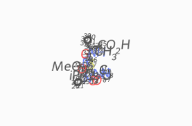 CCC(C)C(NC(=O)C1CCCCN1C)C(=O)N(Cc1ccccc1)C(CC(OCOC)c1nc(C(=O)NC(Cc2ccccc2)CC(C)C(=O)O)cs1)C(C)C